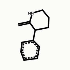 C=C1NCCCC1c1ccccc1